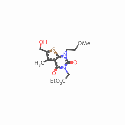 CCOC(=O)Cn1c(=O)c2c(C)c(CO)sc2n(CCOC)c1=O